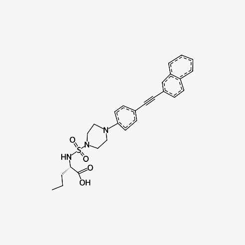 CCC[C@H](NS(=O)(=O)N1CCN(c2ccc(C#Cc3ccc4ccccc4c3)cc2)CC1)C(=O)O